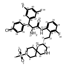 CS(=O)(=O)N1CCC2(CC1)CNC[C@@H](CCc1c(F)cccc1NC(=O)[C@@H](N)[C@@H](c1ccc(Cl)cc1)c1cc(F)cc(F)c1)O2